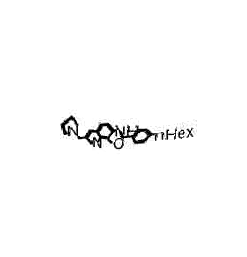 CCCCCCc1ccc(C(=O)Nc2ccc3cc(CN4CCCC4)cnc3c2C)cc1